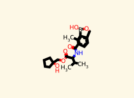 Cc1c(C(=O)NC(C(=O)OCC2(O)CCCC2)C(C)C)ccc2c1B(O)OC2